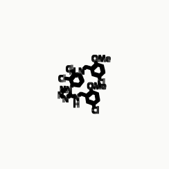 COc1ccc(Cl)cc1CN.COc1ccc(Cl)cc1CNc1nnnn1-c1cccc(Cl)c1Cl